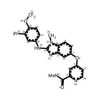 CNC(=O)c1cc(Oc2ccc3c(c2)nc(Nc2ccc(OC(F)(F)F)c(C(C)C)c2)n3C)ccn1